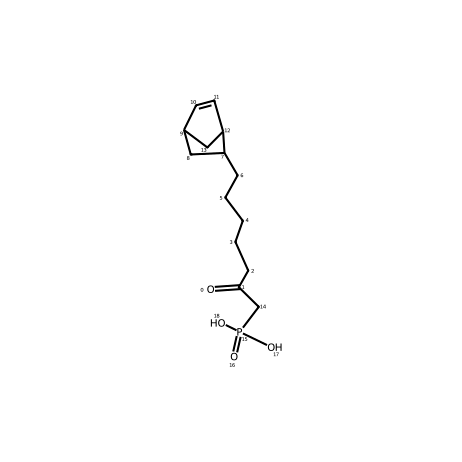 O=C(CCCCCC1CC2C=CC1C2)CP(=O)(O)O